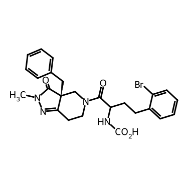 CN1N=C2CCN(C(=O)C(CCc3ccccc3Br)NC(=O)O)C[C@@]2(Cc2ccccc2)C1=O